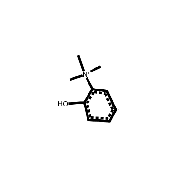 C[N+](C)(C)c1c[c]ccc1O